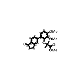 COC(=O)C(C)(C)Oc1c(-c2ccc3c(c2)CCC3=O)ccc(OC)c1OC